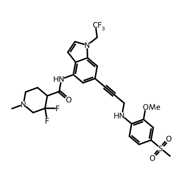 COc1cc(S(C)(=O)=O)ccc1NCC#Cc1cc(NC(=O)C2CCN(C)CC2(F)F)c2ccn(CC(F)(F)F)c2c1